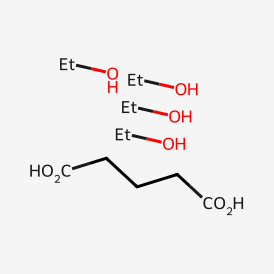 CCO.CCO.CCO.CCO.O=C(O)CCCC(=O)O